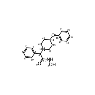 O=C(NO)C(c1ccccc1)N1CCC(Oc2ccccc2)CC1